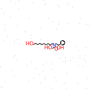 CC(=O)N(CC(O)CCCCCCCCO)CC(O)c1ccccc1